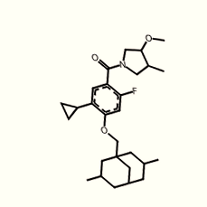 COC1CN(C(=O)c2cc(C3CC3)c(OCC34CC(C)CC(CC(C)C3)C4)cc2F)CC1C